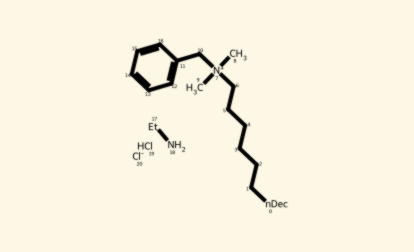 CCCCCCCCCCCCCCCC[N+](C)(C)Cc1ccccc1.CCN.Cl.[Cl-]